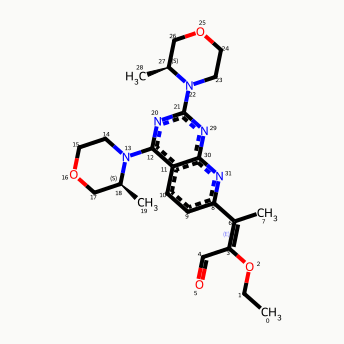 CCO/C(C=O)=C(\C)c1ccc2c(N3CCOC[C@@H]3C)nc(N3CCOC[C@@H]3C)nc2n1